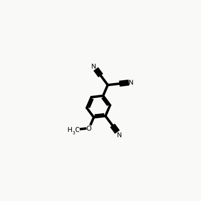 COc1ccc(C(C#N)C#N)cc1C#N